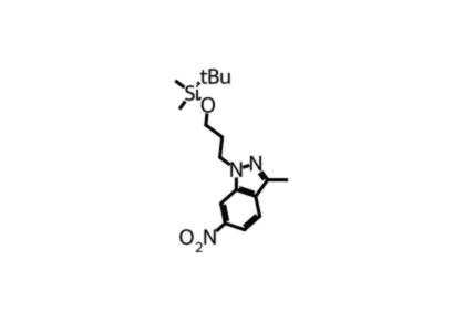 Cc1nn(CCCO[Si](C)(C)C(C)(C)C)c2cc([N+](=O)[O-])ccc12